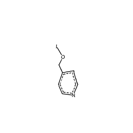 IOCc1ccncc1